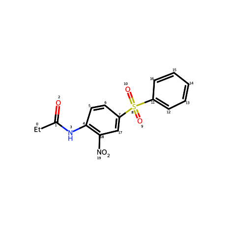 CCC(=O)Nc1ccc(S(=O)(=O)c2ccccc2)cc1[N+](=O)[O-]